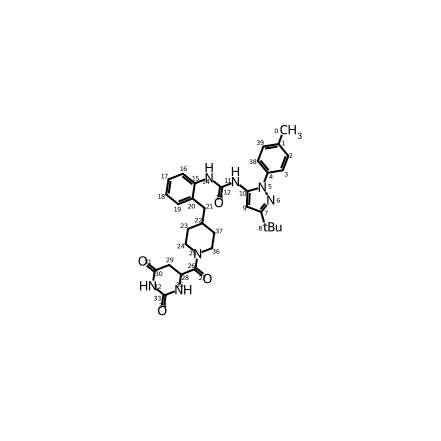 Cc1ccc(-n2nc(C(C)(C)C)cc2NC(=O)Nc2ccccc2CC2CCN(C(=O)C3CC(=O)NC(=O)N3)CC2)cc1